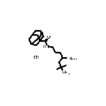 Br.CCCCCCCCCC(CCCNC(=O)C12CC3CC(CC(C3)C1)C2)CC(C)(C)N